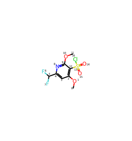 COc1cc(C(F)F)nc(OC)c1S(=O)(=O)Cl